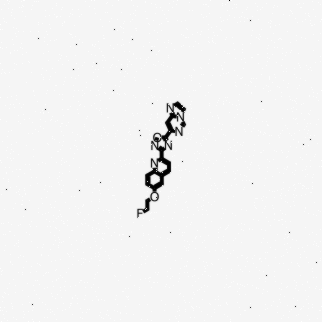 FCCOc1ccc2nc(-c3noc(-c4cc5nccn5cn4)n3)ccc2c1